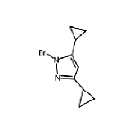 Brn1nc(C2CC2)cc1C1CC1